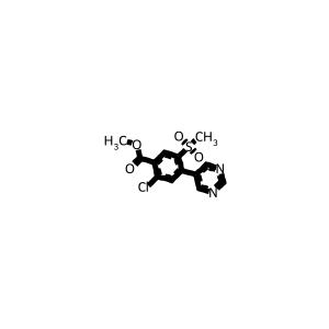 COC(=O)c1cc(S(C)(=O)=O)c(-c2cncnc2)cc1Cl